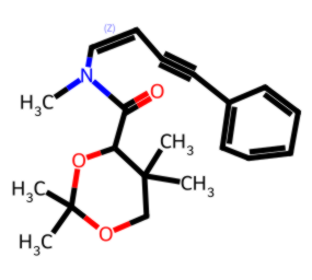 CN(/C=C\C#Cc1ccccc1)C(=O)C1OC(C)(C)OCC1(C)C